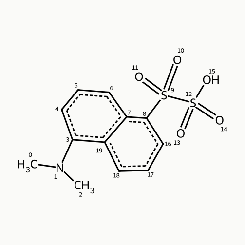 CN(C)c1cccc2c(S(=O)(=O)S(=O)(=O)O)cccc12